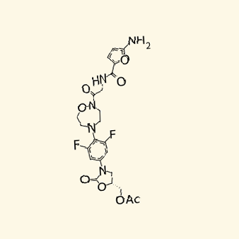 CC(=O)OC[C@H]1CN(c2cc(F)c(N3CCON(C(=O)CNC(=O)c4ccc(N)o4)CC3)c(F)c2)C(=O)O1